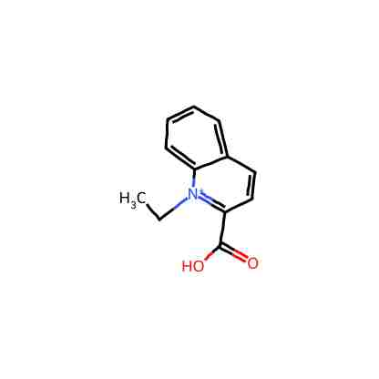 CC[n+]1c(C(=O)O)ccc2ccccc21